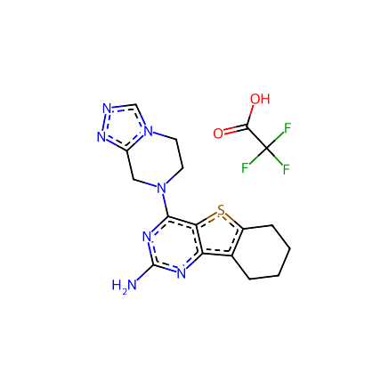 Nc1nc(N2CCn3cnnc3C2)c2sc3c(c2n1)CCCC3.O=C(O)C(F)(F)F